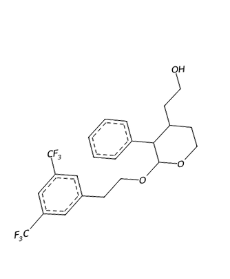 OCCC1CCOC(OCCc2cc(C(F)(F)F)cc(C(F)(F)F)c2)C1c1ccccc1